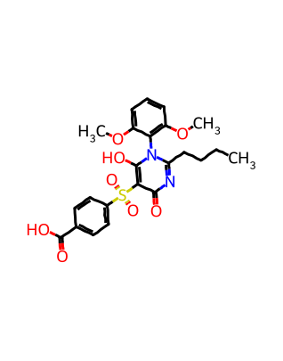 CCCCc1nc(=O)c(S(=O)(=O)c2ccc(C(=O)O)cc2)c(O)n1-c1c(OC)cccc1OC